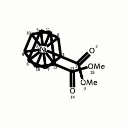 COC(=O)[C]12[CH]3[CH]4[CH]5[CH]1[Ni]45321678[CH]2[CH]1[CH]6[C]7(C(=O)OC)[CH]28